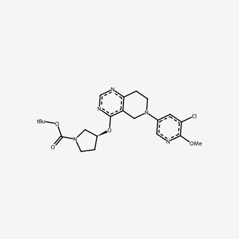 COc1ncc(N2CCc3ncnc(O[C@H]4CCN(C(=O)OC(C)(C)C)C4)c3C2)cc1Cl